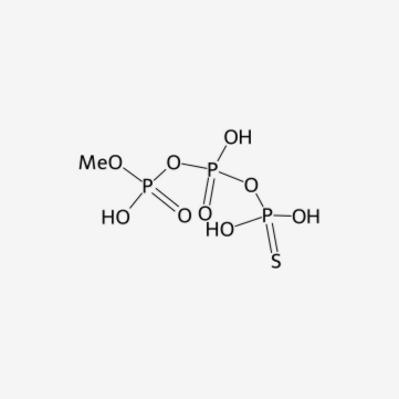 COP(=O)(O)OP(=O)(O)OP(O)(O)=S